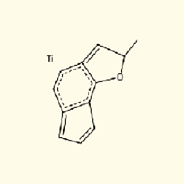 CC1C=c2ccc3c(c2O1)C=CC=3.[Ti]